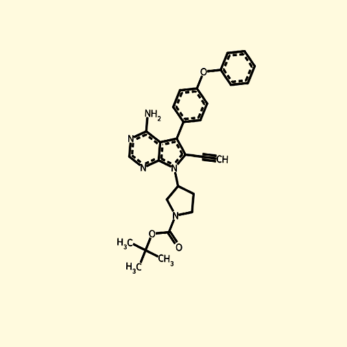 C#Cc1c(-c2ccc(Oc3ccccc3)cc2)c2c(N)ncnc2n1C1CCN(C(=O)OC(C)(C)C)C1